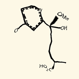 CO[C@@](O)(CCC[C@@H](C)C(=O)O)c1cc(Cl)ccn1